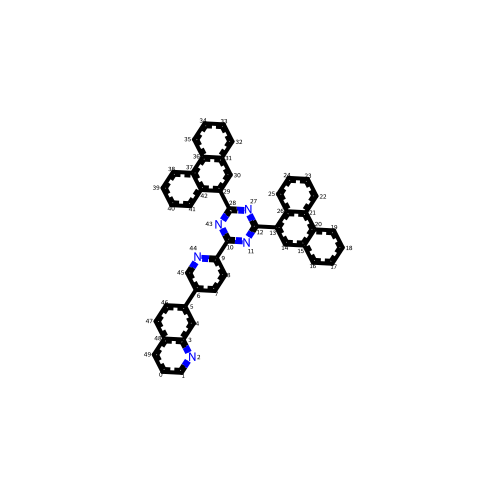 c1cnc2cc(-c3ccc(-c4nc(-c5cc6ccccc6c6ccccc56)nc(-c5cc6ccccc6c6ccccc56)n4)nc3)ccc2c1